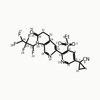 CCS(=O)(=O)c1cc(C2(C#N)CC2)cnc1-c1cc2c(cn1)N(C(F)C(F)(F)C(F)F)C(=O)CC2